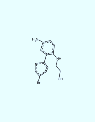 Nc1ccc(NCCO)c(-c2ccc(Br)cc2)c1